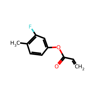 C=CC(=O)Oc1ccc(C)c(F)c1